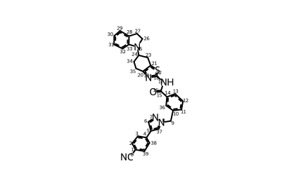 N#Cc1ccc(-c2cnn(Cc3cccc(C(=O)Nc4nc5c(s4)CC(N4CCc6ccccc64)CC5)c3)c2)cc1